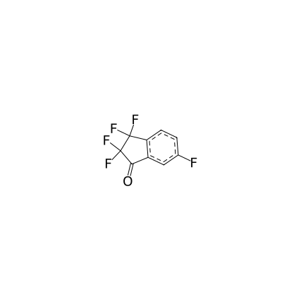 O=C1c2cc(F)ccc2C(F)(F)C1(F)F